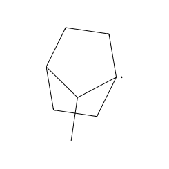 CC1[C]2CCC1CC2